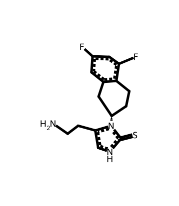 NCCc1c[nH]c(=S)n1[C@H]1CCc2c(F)cc(F)cc2C1